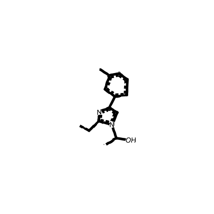 [CH2]C(O)n1cc(-c2cccc(C)c2)nc1CC